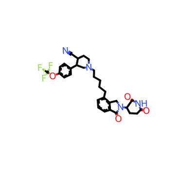 N#CC1CCN(CCCCCc2cccc3c2CN(C2CCC(=O)NC2=O)C3=O)CC1c1ccc(OC(F)(F)F)cc1